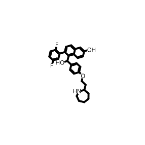 Oc1ccc2c(C(O)c3ccc(OCCC4CCCCCN4)cc3)c(-c3cc(F)ccc3F)ccc2c1